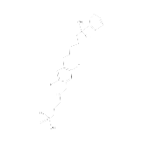 CC(C)(CCCCCc1cc(F)c(CNCCCP(=O)(O)O)cc1F)c1ccccc1